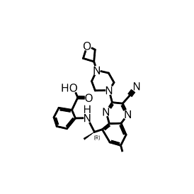 Cc1cc([C@@H](C)Nc2ccccc2C(=O)O)c2nc(N3CCN(C4COC4)CC3)c(C#N)nc2c1